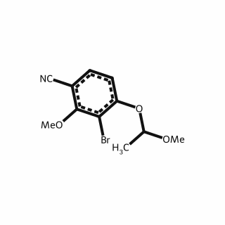 COc1c(C#N)ccc(OC(C)OC)c1Br